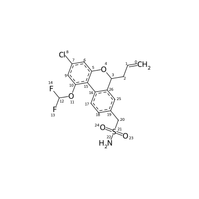 C=CCC1Oc2cc(Cl)cc(OC(F)F)c2-c2ccc(CS(N)(=O)=O)cc21